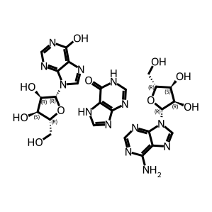 Nc1ncnc2c1ncn2[C@@H]1O[C@H](CO)[C@@H](O)[C@H]1O.O=c1[nH]cnc2nc[nH]c12.OC[C@H]1O[C@@H](n2cnc3c(O)ncnc32)[C@H](O)[C@@H]1O